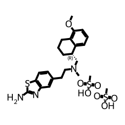 COc1cccc2c1CCC[C@H]2CN(C)CCc1ccc2sc(N)nc2c1.CS(=O)(=O)O.CS(=O)(=O)O